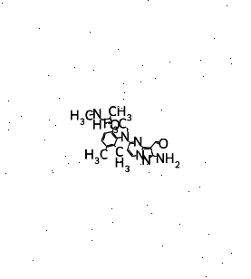 CCN(c1ccn2nc(N)c(C=O)c2n1)c1c(OC(C)CNC)ccc(C)c1C